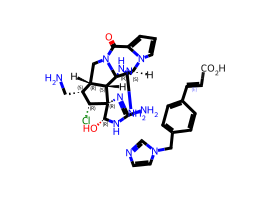 NC[C@@H]1[C@@H]2CN3C(=O)c4cccn4[C@@H]4N=C(N)N[C@@]43[C@@H]2[C@]2(N=C(N)N[C@@H]2O)[C@@H]1Cl.O=C(O)/C=C/c1ccc(Cn2ccnc2)cc1